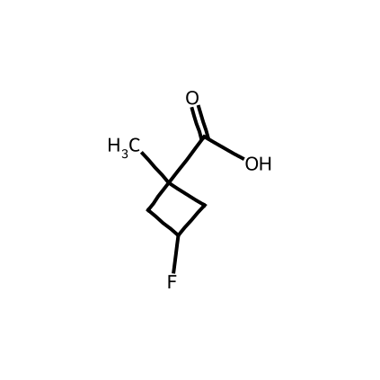 CC1(C(=O)O)CC(F)C1